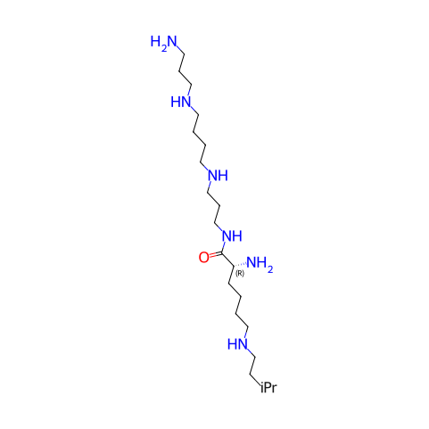 CC(C)CCNCCCC[C@@H](N)C(=O)NCCCNCCCCNCCCN